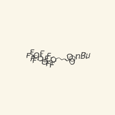 CCCCC1COC(/C=C/CCc2cc(F)c(C(F)(F)Oc3cc(F)c(OC(F)=C(F)F)c(F)c3)c(F)c2)OC1